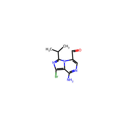 CC(C)c1nc(Br)c2c(N)ncc(C=O)n12